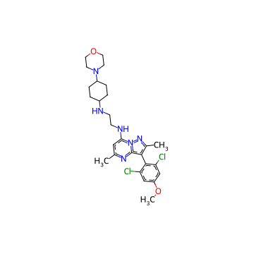 COc1cc(Cl)c(-c2c(C)nn3c(NCCNC4CCC(N5CCOCC5)CC4)cc(C)nc23)c(Cl)c1